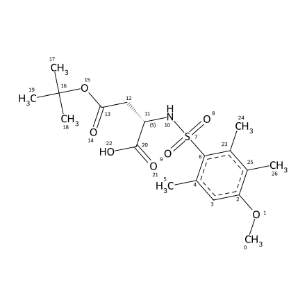 COc1cc(C)c(S(=O)(=O)N[C@@H](CC(=O)OC(C)(C)C)C(=O)O)c(C)c1C